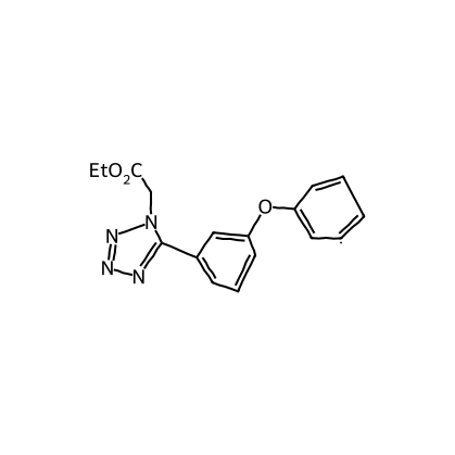 CCOC(=O)Cn1nnnc1-c1cccc(Oc2c[c]ccc2)c1